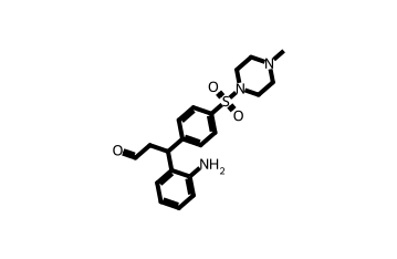 CN1CCN(S(=O)(=O)c2ccc(C(CC=O)c3ccccc3N)cc2)CC1